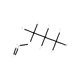 O=NSC(F)(F)C(F)(F)C(F)(F)F